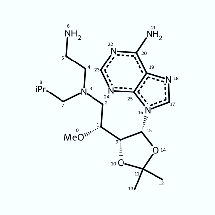 CO[C@H](CN(CCN)CC(C)C)[C@H]1OC(C)(C)O[C@H]1n1cnc2c(N)ncnc21